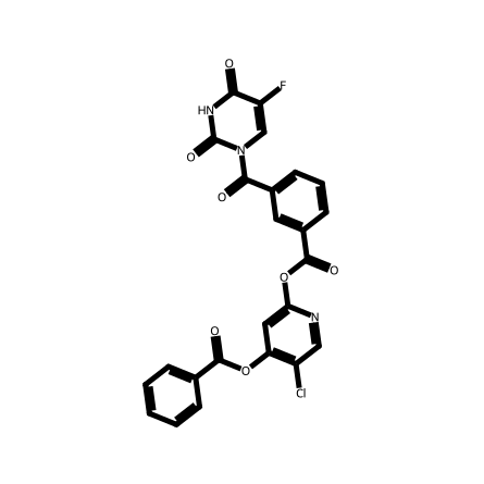 O=C(Oc1cc(OC(=O)c2ccccc2)c(Cl)cn1)c1cccc(C(=O)n2cc(F)c(=O)[nH]c2=O)c1